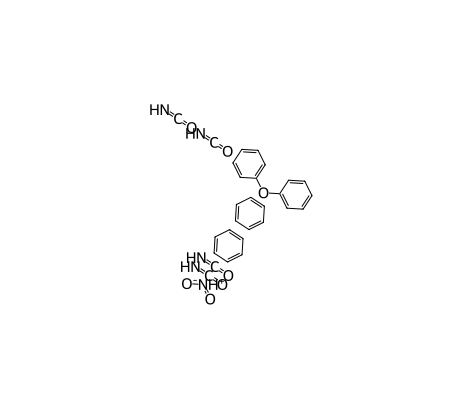 N=C=O.N=C=O.N=C=O.N=C=O.O=[NH+][O-].c1ccc(Oc2ccccc2)cc1.c1ccccc1.c1ccccc1